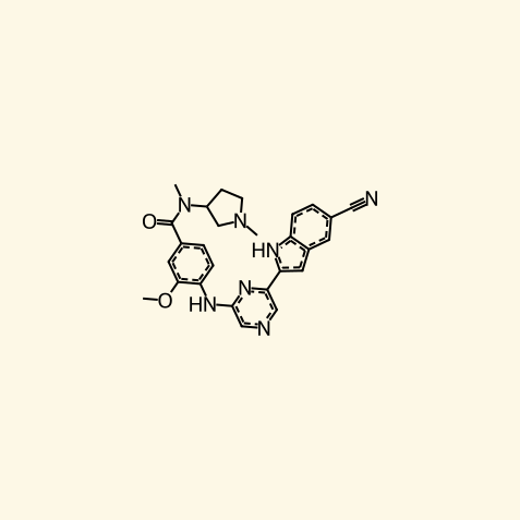 COc1cc(C(=O)N(C)C2CCN(C)C2)ccc1Nc1cncc(-c2cc3cc(C#N)ccc3[nH]2)n1